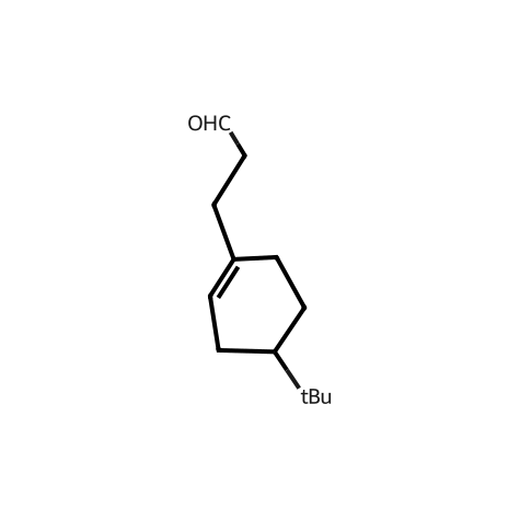 CC(C)(C)C1CC=C(CCC=O)CC1